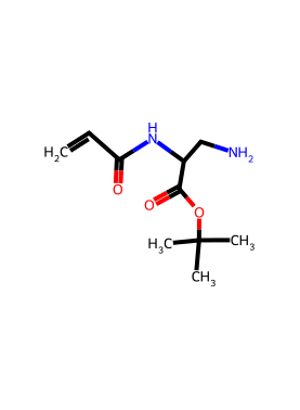 C=CC(=O)NC(CN)C(=O)OC(C)(C)C